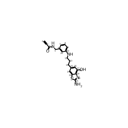 C#CC(=O)NCc1cccc(NCCCc2cc(O)c3nc(N)sc3c2)c1